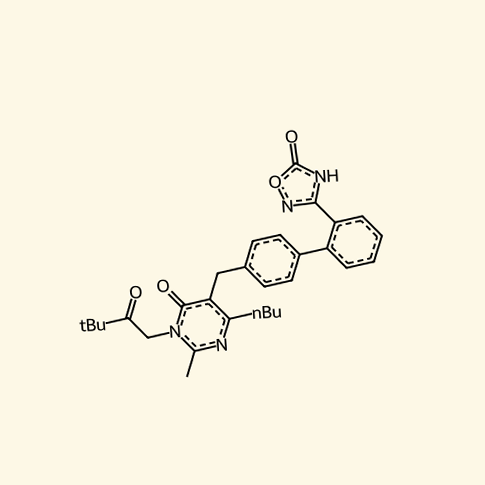 CCCCc1nc(C)n(CC(=O)C(C)(C)C)c(=O)c1Cc1ccc(-c2ccccc2-c2noc(=O)[nH]2)cc1